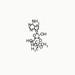 CC(C)(O[C@@H]1C(O)[C@H](n2cnc3c(N)ncnc32)O[C@@H]1CO)P(C)(=O)O